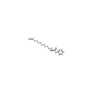 CCCCCCCCCCCCCCCCCCCCNC(=O)Cc1ccccc1